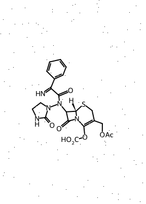 CC(=O)OCC1=C(OC(=O)O)N2C(=O)C(N(C(=O)C(=N)c3ccccc3)N3CCNC3=O)[C@@H]2SC1